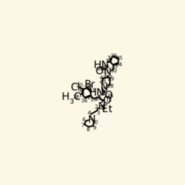 CCN(CCCN1CCCCC1)C(=O)C(Cc1cc(C)c(Cl)c(Br)c1)NC(=O)N1CCC(N2Cc3ccccc3NC2=O)CC1